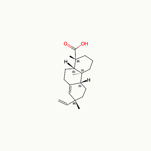 C=C[C@]1(C)C=C2CC[C@H]3[C@@](C)(CCC[C@@]3(C)C(=O)O)[C@@H]2CC1